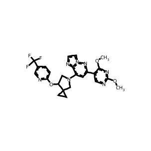 COc1ncc(-c2cc(N3CC(Oc4ccc(C(F)(F)F)cn4)C4(CC4)C3)c3nccn3n2)c(OC)n1